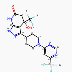 O=C1CC(O)(C(F)(F)F)c2c(C3CCN(c4cc(C(F)(F)F)ncn4)CC3)n[nH]c2N1